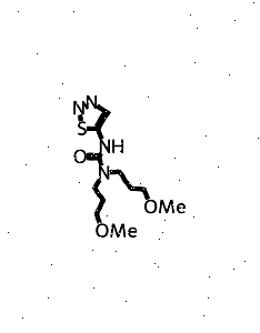 COCCCN(CCCOC)C(=O)Nc1cnns1